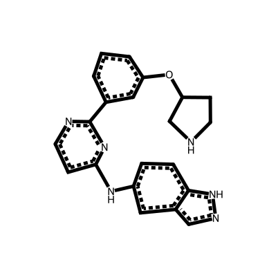 c1cc(OC2CCNC2)cc(-c2nccc(Nc3ccc4[nH]ncc4c3)n2)c1